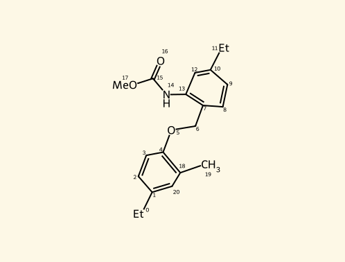 CCc1ccc(OCc2ccc(CC)cc2NC(=O)OC)c(C)c1